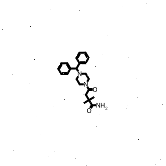 CC(C)([CH]C(=O)N1CCN(C(c2ccccc2)c2ccccc2)CC1)C(N)=O